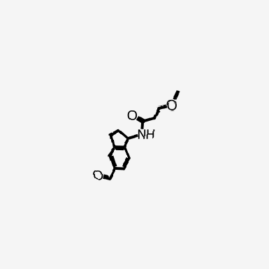 COCCC(=O)NC1CCc2cc(C=O)ccc21